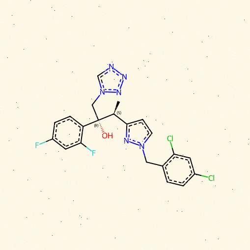 C[C@@H](c1ccn(Cc2ccc(Cl)cc2Cl)n1)[C@](O)(Cn1cnnn1)c1ccc(F)cc1F